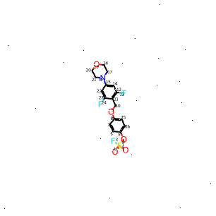 O=S(=O)(F)Oc1ccc(OCc2c(F)cc(N3CCOCC3)cc2F)cc1